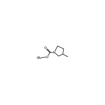 CC1CCN(C(=O)OC(C)(C)C)C1